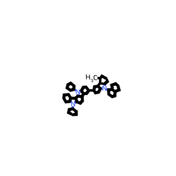 CC1C=CC=C2C1c1cc(-c3ccc4c(c3)c3ccc5c(c6ccccc6n5-c5ccccc5)c3n4-c3ccccc3)ccc1N2c1cccc2ccccc12